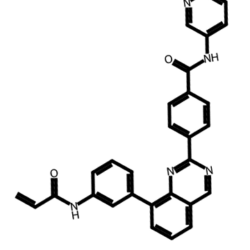 C=CC(=O)Nc1cccc(-c2cccc3cnc(-c4ccc(C(=O)Nc5cccnc5)cc4)nc23)c1